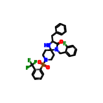 O=C1C(Cc2ccccc2)NC2(CCN(S(=O)(=O)c3ccccc3C(F)(F)F)CC2)N1Cc1ccccc1F